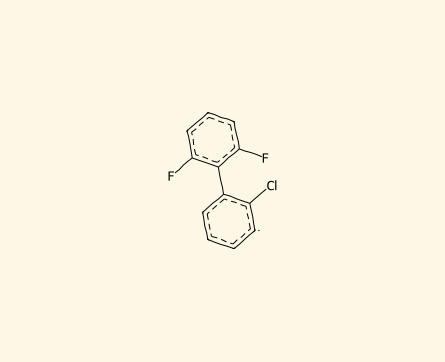 Fc1cccc(F)c1-c1ccc[c]c1Cl